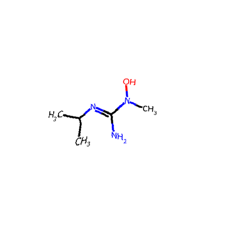 CC(C)/N=C(\N)N(C)O